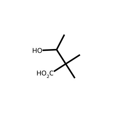 CC(O)C(C)(C)C(=O)O